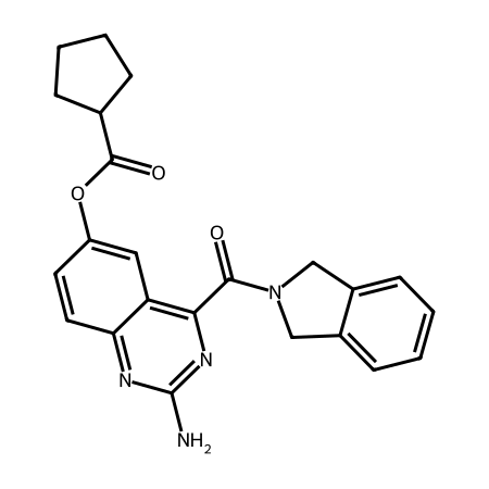 Nc1nc(C(=O)N2Cc3ccccc3C2)c2cc(OC(=O)C3CCCC3)ccc2n1